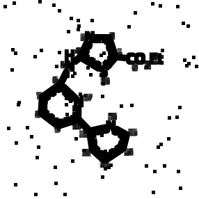 CCOC(=O)c1cnc(Nc2cccc(-c3ccccn3)n2)s1